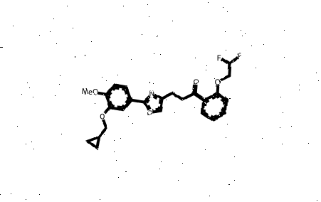 COc1ccc(-c2nc(CCC(=O)c3ccccc3OCC(F)F)co2)cc1OCC1CC1